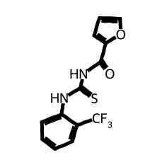 O=C(NC(=S)Nc1ccccc1C(F)(F)F)c1ccco1